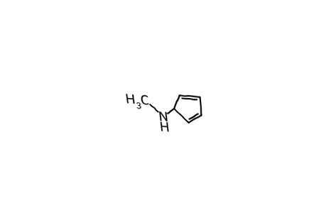 CNC1C=CC=C1